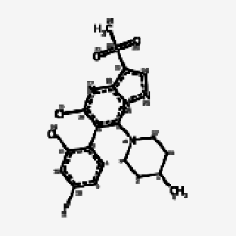 CC1CCN(c2c(-c3ccc(F)cc3Cl)c(Cl)nc3c(S(C)(=O)=O)cnn23)CC1